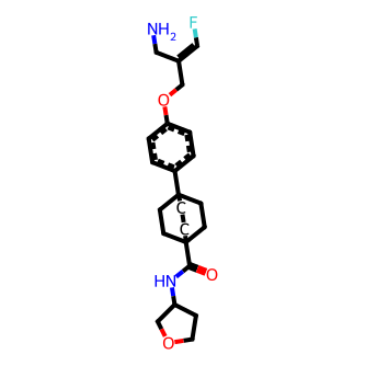 NC/C(=C\F)COc1ccc(C23CCC(C(=O)NC4CCOC4)(CC2)CC3)cc1